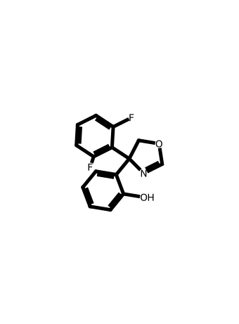 Oc1ccccc1C1(c2c(F)cccc2F)COC=N1